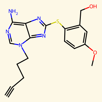 C#CCCCn1cnc(N)c2nc(Sc3ccc(OC)cc3CO)nc1-2